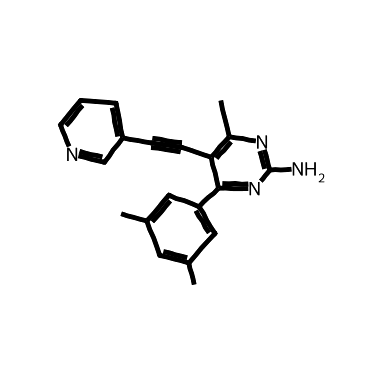 Cc1cc(C)cc(-c2nc(N)nc(C)c2C#Cc2cccnc2)c1